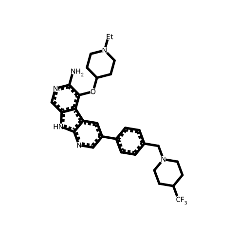 CCN1CCC(Oc2c(N)ncc3[nH]c4ncc(-c5ccc(CN6CCC(C(F)(F)F)CC6)cc5)cc4c23)CC1